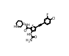 NC(=O)Nc1cc(C#Cc2ccc(Cl)c(F)c2)sc1C(=O)N[C@H]1CCCNC1